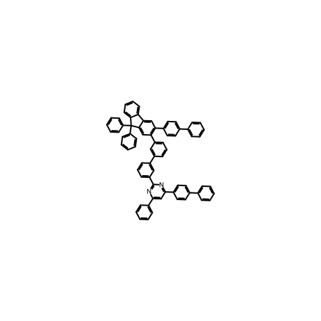 c1ccc(-c2ccc(-c3cc(-c4ccccc4)nc(-c4cccc(-c5cccc(-c6cc7c(cc6-c6ccc(-c8ccccc8)cc6)-c6ccccc6C7(c6ccccc6)c6ccccc6)c5)c4)n3)cc2)cc1